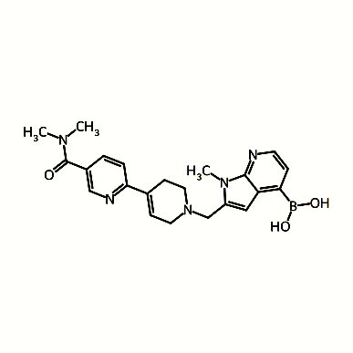 CN(C)C(=O)c1ccc(C2=CCN(Cc3cc4c(B(O)O)ccnc4n3C)CC2)nc1